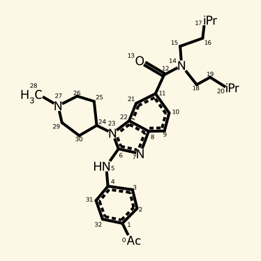 CC(=O)c1ccc(Nc2nc3ccc(C(=O)N(CCC(C)C)CCC(C)C)cc3n2C2CCN(C)CC2)cc1